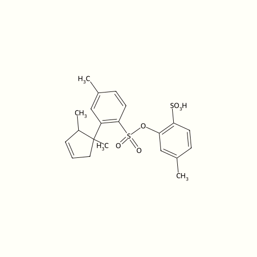 Cc1ccc(S(=O)(=O)O)c(OS(=O)(=O)c2ccc(C)cc2C2(C)CC=CC2C)c1